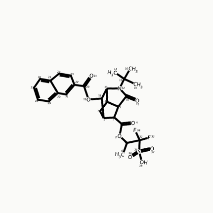 CC(OC(=O)C1C2CC3C1C(=O)N(C(C)(C)C)C3C2OC(=O)c1ccc2ccccc2c1)C(F)(F)S(=O)(=O)O